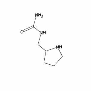 NC(=O)NCC1CCCN1